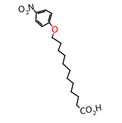 O=C(O)CCCCCCCCCCCOc1ccc([N+](=O)[O-])cc1